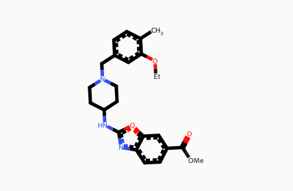 CCOc1cc(CN2CCC(Nc3nc4ccc(C(=O)OC)cc4o3)CC2)ccc1C